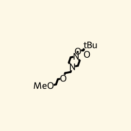 COCCOCCN1CCN(OC(=O)C(C)(C)C)CC1